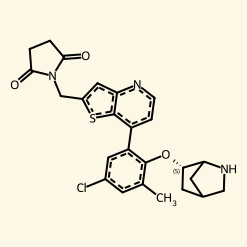 Cc1cc(Cl)cc(-c2ccnc3cc(CN4C(=O)CCC4=O)sc23)c1O[C@H]1CC2CNC1C2